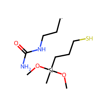 CO[Si](C)(CCCS)OC.[CH2]CCNC(N)=O